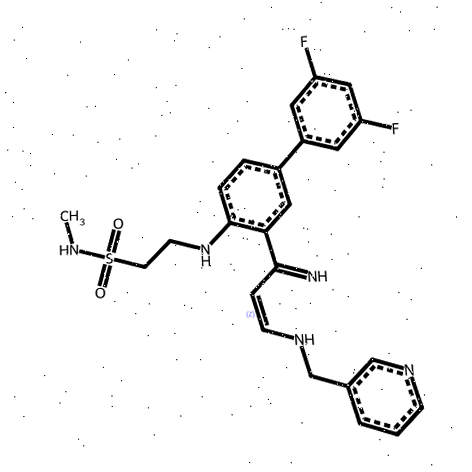 CNS(=O)(=O)CCNc1ccc(-c2cc(F)cc(F)c2)cc1C(=N)/C=C\NCc1cccnc1